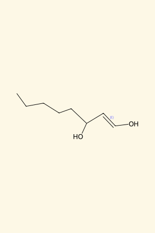 CCCCCC(O)/C=C/O